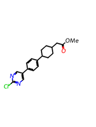 COC(=O)CC1CCC(c2ccc(-c3cnc(Cl)nc3)cc2)CC1